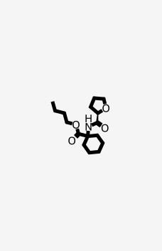 CCCCOC(=O)C1(NC(=O)[C@H]2CCCO2)CCCCC1